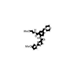 COCCNC(=O)c1cc(CN2CCOCC2)ccc1NC(=O)C1CSC(N2CC[C@H](OC)C2)=N1